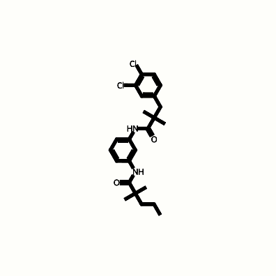 CCCC(C)(C)C(=O)Nc1cccc(NC(=O)C(C)(C)Cc2ccc(Cl)c(Cl)c2)c1